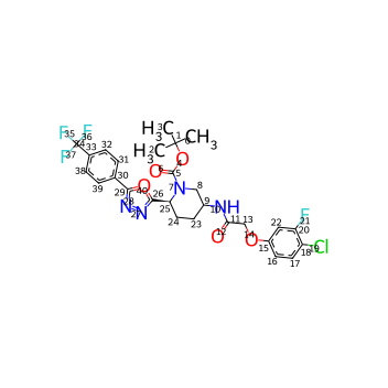 CC(C)(C)OC(=O)N1CC(NC(=O)COc2ccc(Cl)c(F)c2)CC[C@H]1c1nnc(-c2ccc(C(F)(F)F)cc2)o1